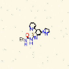 CCNC(=O)Nc1nc2cc(-n3cccn3)cc(-c3ccccn3)c2s1